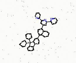 c1ccc(C2(c3ccccc3)c3ccccc3-c3ccc(-c4ccc(-c5cc(-c6ccccn6)nc(-c6ccccn6)c5)c5ccccc45)cc32)cc1